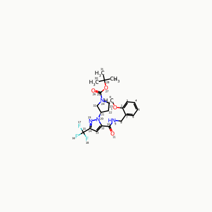 COc1ccccc1CNC(=O)c1cc(C(F)(F)F)nn1[C@@H]1CCN(C(=O)OC(C)(C)C)C1